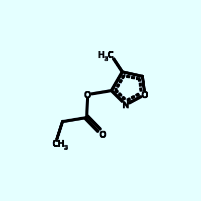 CCC(=O)Oc1nocc1C